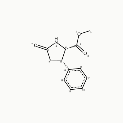 COC(=O)[C@H]1NC(=O)C[C@H]1c1ccccc1